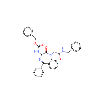 O=C(CN1C(=O)C(NC(=O)OCc2ccccc2)N=C(c2ccccc2)c2ccccc21)NCc1ccccc1